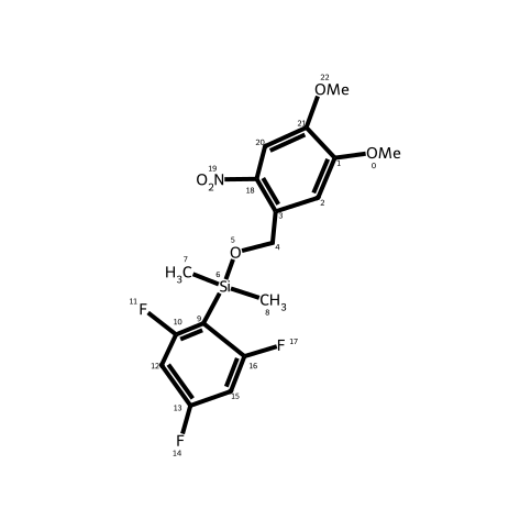 COc1cc(CO[Si](C)(C)c2c(F)cc(F)cc2F)c([N+](=O)[O-])cc1OC